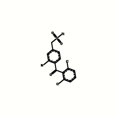 CCS(=O)(=O)Cc1ccc(C(=O)c2c(Cl)cccc2Cl)c(Br)c1